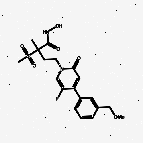 COCc1cccc(-c2cc(=O)n(CCC(C)(C(=O)NO)S(C)(=O)=O)cc2F)c1